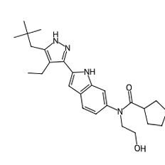 CCc1c(-c2cc3ccc(N(CCO)C(=O)C4CCCC4)cc3[nH]2)n[nH]c1CC(C)(C)C